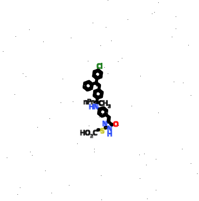 CCCC(C)(Nc1ccc(/C=C2\N=C(SCC(=O)O)NC2=O)cc1)c1ccc(/C=C(\c2ccccc2)c2ccc(Cl)cc2)cc1